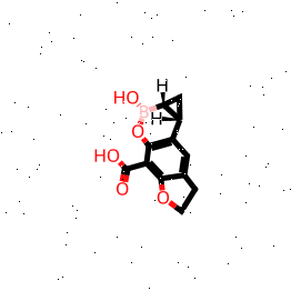 O=C(O)c1c2c(cc3c1OB(O)[C@@H]1C[C@H]31)CCO2